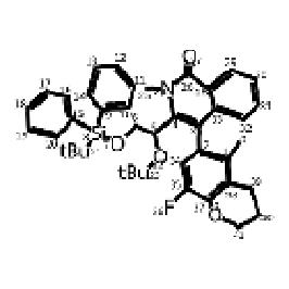 Cc1c(-c2c(C(CO[Si](c3ccccc3)(c3ccccc3)C(C)(C)C)OC(C)(C)C)n(C)c(=O)c3ccccc23)cc(F)c2c1CCCO2